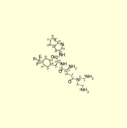 NCCN(CCN)C(=O)CC[C@H](N)C(=O)N[C@@H](Cc1ccc(C(F)(F)F)cc1)C(=O)Nc1cnc2ccccc2c1